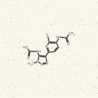 CC(=O)Nc1ccc(-c2nnn(C)c2NC(=O)O)nc1F